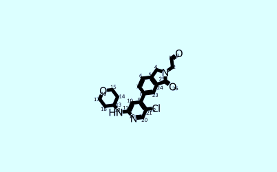 O=CCN1Cc2ccc(-c3cc(NC4CCOCC4)ncc3Cl)cc2C1=O